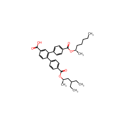 CCCCC[C@@H](C)OC(=O)c1ccc(-c2cc(C(=O)O)ccc2-c2ccc(C(=O)O[C@H](C)CC(CC)CC)cc2)cc1